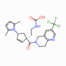 Cc1ccc(C)n1[C@@H]1C=C[C@](CCNC(=O)O)(C(=O)N2CCc3ncc(C(F)(F)F)cc3C2)C1